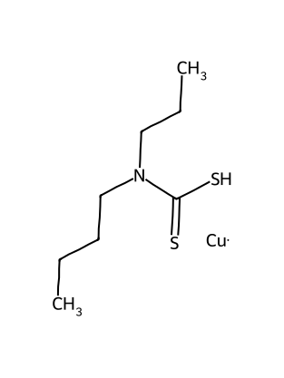 CCCCN(CCC)C(=S)S.[Cu]